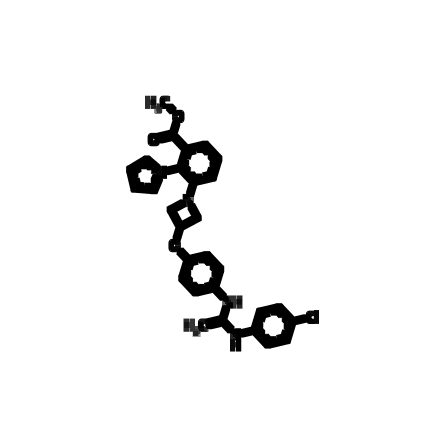 C=C(Nc1ccc(Cl)cc1)Nc1ccc(OC2CN(c3cccc(C(=O)OC)c3-n3cccc3)C2)cc1